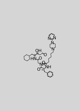 O=[C]C[C@H](O)[C@H](CC1CCCCC1)NC(=O)CNC(=O)[C@H](Cc1ccccc1)NC(=O)CCCCCN1CCN(c2ncccn2)CC1